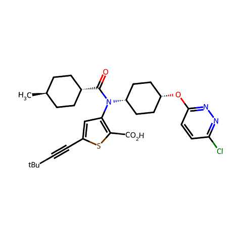 CC(C)(C)C#Cc1cc(N(C(=O)[C@H]2CC[C@H](C)CC2)[C@H]2CC[C@@H](Oc3ccc(Cl)nn3)CC2)c(C(=O)O)s1